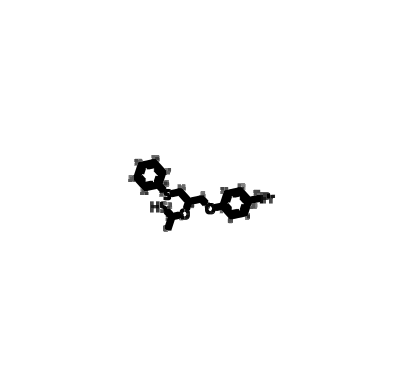 CC(S)OC(COc1ccc(C(C)C)cc1)CSc1ccccc1